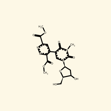 COC(=O)c1cc(-c2cn([C@H]3CC(O)[C@@H](CO)O3)c(=O)n(C)c2=O)c(C(=O)OC)nn1